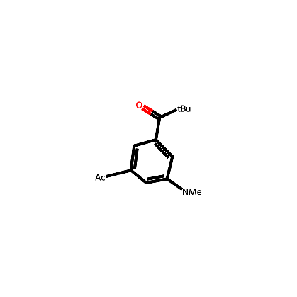 CNc1cc(C(C)=O)cc(C(=O)C(C)(C)C)c1